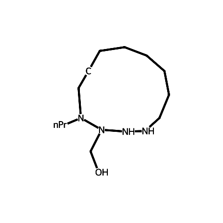 CCCN1CCCCCCCCNNN1CO